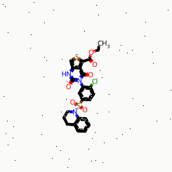 CCOC(=O)c1scc2[nH]c(=O)n(-c3cc(S(=O)(=O)N4CCCc5ccccc54)ccc3Cl)c(=O)c12